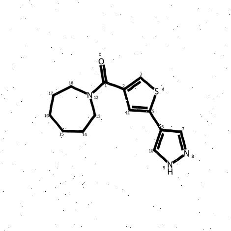 O=C(c1csc(-c2cn[nH]c2)c1)N1CCCCCC1